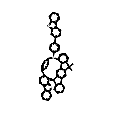 CC1(C)c2cc3c4cc2-c2c(cccc21)N(c1ccc(-c2ccc5c(c2)oc2ccccc25)cc1)c1ccc(cc1)-c1ccc2c(oc5ccccc52)c1C4(C)c1ccccc1-3